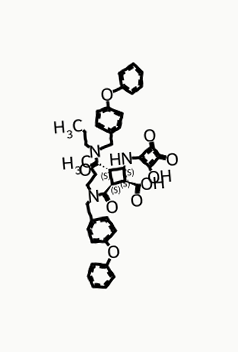 CCCN(Cc1ccc(Oc2ccccc2)cc1)C(=O)[C@@H]1[C@H](C(=O)O)[C@@H](Nc2c(O)c(=O)c2=O)[C@H]1C(=O)N(CCC)Cc1ccc(Oc2ccccc2)cc1